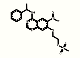 CC(Nc1ncnc2cc(OCCOS(C)(=O)=O)c([N+](=O)[O-])cc12)c1ccccc1